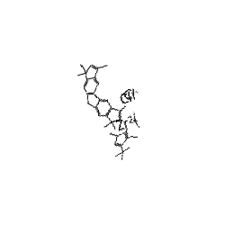 CC1=CC(C)(C)c2cc3c(cc21)-c1cc2c(cc1C3)C(C)(C)[C]([Zr+2]([C]1=C(C)C(C(C)(C)C)=CC1C)=[C](C)C)=C2C.[Cl-].[Cl-]